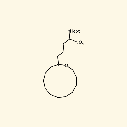 [CH2]CCCCCCC(CCC[C]1CCCCCCCCCCCO1)[N+](=O)[O-]